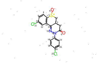 O=C1CC2C[S+]([O-])c3ccc(Cl)cc3C2=NN1c1ccc(Cl)cc1